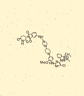 COc1cc(N2CCC(N3CCN(CCNc4ccc5c(c4)C(=O)N(C4CCC(=O)NC4=O)C5=O)CC3)CC2)ccc1Nc1ncc(Cl)c(Nc2ccccc2P(C)(C)=O)n1